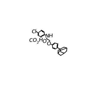 O=C(COc1ccc(C23CC4CC(CC(C4)C2)C3)cc1)Nc1ccc(Cl)cc1C(=O)O